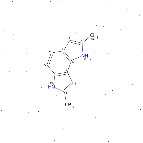 Cc1cc2c(ccc3cc(C)[nH]c32)[nH]1